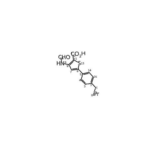 CC(C)Cc1ccc(-c2cc(NC=O)c(C(=O)O)s2)cc1